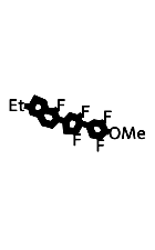 CCc1ccc2c(F)c(-c3cc(F)c(-c4cc(F)c(OC)c(F)c4)c(F)c3)ccc2c1